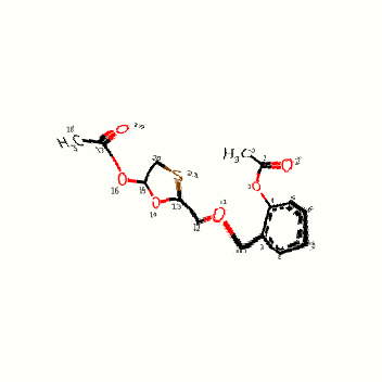 CC(=O)Oc1ccccc1COCC1OC(OC(C)=O)CS1